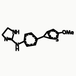 COc1cc2c(s1)C2c1ccc(NC2=NCCN2)cc1